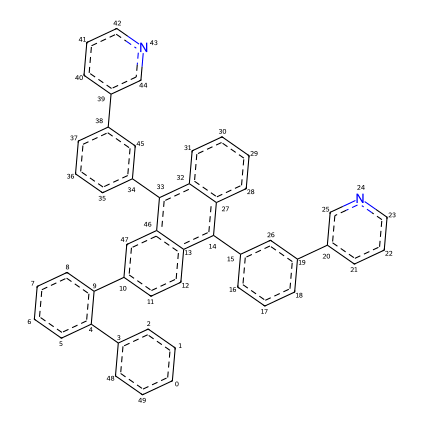 c1ccc(-c2ccccc2-c2ccc3c(-c4cccc(-c5cccnc5)c4)c4ccccc4c(-c4cccc(-c5cccnc5)c4)c3c2)cc1